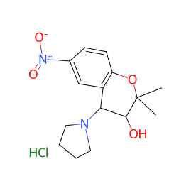 CC1(C)Oc2ccc([N+](=O)[O-])cc2C(N2CCCC2)C1O.Cl